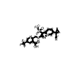 CCS(=O)(=O)c1c(NCc2ncc(C(F)(F)F)cc2C(=O)O)nn2cc(C3(C#N)CC3)ccc12